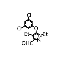 CCc1c(C=O)nn(CC)c1Oc1cc(Cl)cc(Cl)c1